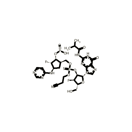 CC(C)C(=O)Nc1nc2c(ncn2[C@@H]2O[C@H](CO)[C@@H](F)[C@H]2OP(=S)(OCCC#N)OC[C@H]2C[C@@H](Nc3ccncn3)[C@H](F)[C@@H]2O[PH](=O)O)c(=O)[nH]1